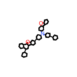 c1ccc(-c2ccc(N(c3ccc(-c4ccc5c(c4)oc4c6ccccc6c(-c6ccccc6)cc54)cc3)c3ccc4oc5ccccc5c4c3)cc2)cc1